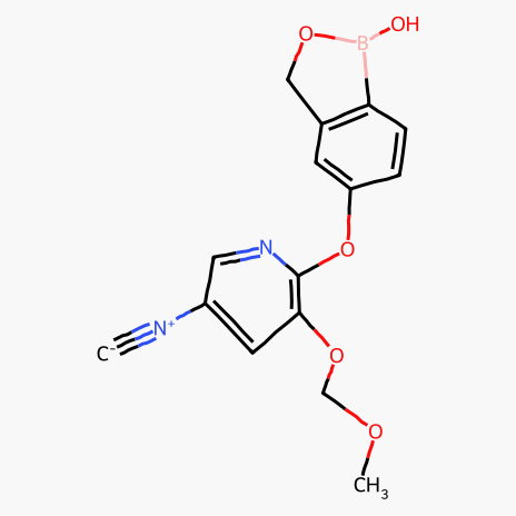 [C-]#[N+]c1cnc(Oc2ccc3c(c2)COB3O)c(OCOC)c1